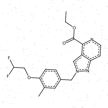 CCOC(=O)c1nccc2nn(Cc3ccc(OCC(F)F)c(C)c3)cc12